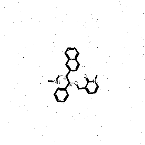 CNC[C@H](c1ccc2ccccc2c1)[C@H](OCc1cccn(C)c1=O)c1ccccc1